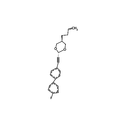 C=CCC[C@H]1CO[C@H](C#Cc2ccc(-c3ccc(F)cc3)cc2)OC1